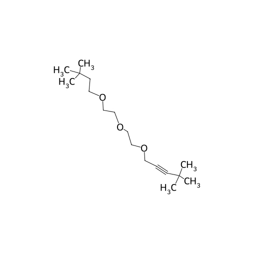 CC(C)(C)C#CCOCCOCCOCCC(C)(C)C